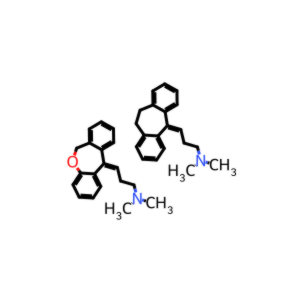 CN(C)CCC=C1c2ccccc2CCc2ccccc21.CN(C)CCC=C1c2ccccc2COc2ccccc21